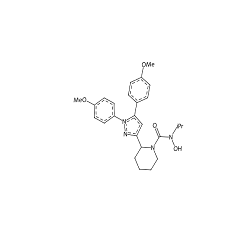 COc1ccc(-c2cc(C3CCCCN3C(=O)N(O)C(C)C)nn2-c2ccc(OC)cc2)cc1